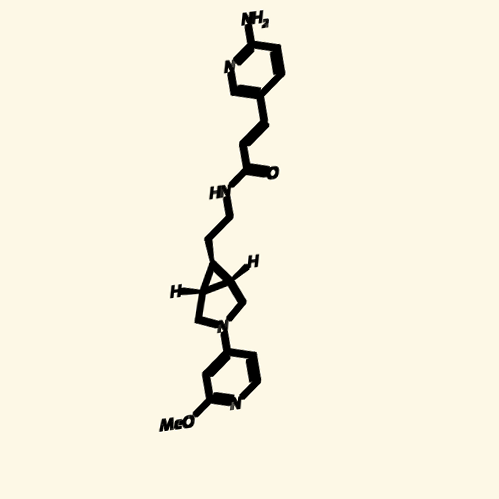 COc1cc(N2C[C@@H]3[C@@H](CCNC(=O)/C=C/c4ccc(N)nc4)[C@@H]3C2)ccn1